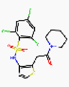 O=C(Cc1sccc1NS(=O)(=O)c1c(Cl)cc(Cl)cc1Cl)N1CCCCC1